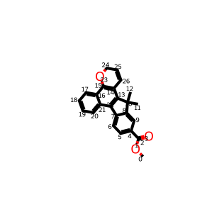 COC(=O)c1ccc2c(c1)C(C)(C)c1c3c(c4ccccc4c1-2)OCC=C3